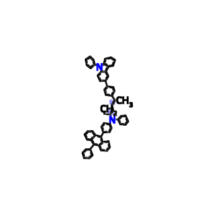 C=C/C(=C\C=C(/C)c1ccc(-c2ccc3c(c2)c2ccccc2n3-c2ccccc2)cc1)N(c1ccccc1)c1ccc(-c2c3ccccc3c(-c3ccccc3)c3ccccc23)cc1